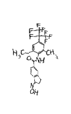 CCc1cc(C(F)(C(F)(F)F)C(F)(F)F)cc(C)c1NC(=O)c1ccc2c(c1)CCC2=NO